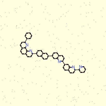 c1ccc(-c2ccc3ccc4ccc(-c5ccc6cc(-c7ccc8ccc(-c9ccc%10ccc(-c%11ccccn%11)nc%10c9)nc8c7)ccc6c5)nc4c3n2)cc1